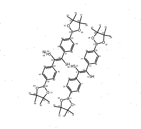 CC1(C)OB(c2ccc(C(S)=C(S)c3ccc(B4OC(C)(C)C(C)(C)O4)cc3)cc2)OC1(C)C.CC1(C)OB(c2ccc(C(S)=C(S)c3ccc(B4OC(C)(C)C(C)(C)O4)cc3)cc2)OC1(C)C.[Ni]